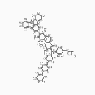 Fc1c(F)c(-c2c(F)c(F)c(N(c3ccc(CC(F)(F)F)cc3)c3ccc(-c4ccc(-c5ccccc5)cc4)cc3)c(F)c2F)c(F)c(F)c1-c1cc2c3ccccc3n3c4ccccc4c(c1)c23